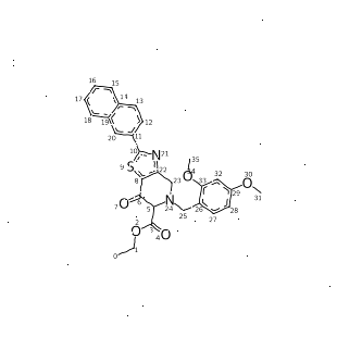 CCOC(=O)C1C(=O)c2sc(-c3ccc4ccccc4c3)nc2CN1Cc1ccc(OC)cc1OC